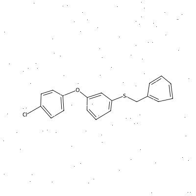 Clc1ccc(Oc2cccc(SCc3ccccc3)c2)cc1